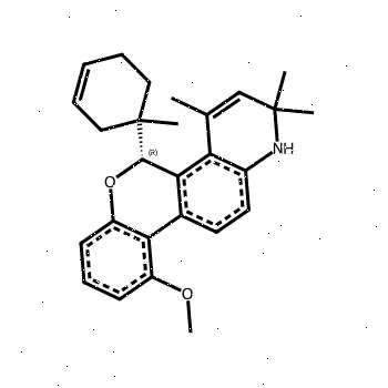 COc1cccc2c1-c1ccc3c(c1[C@@H](C1(C)CC=CCC1)O2)C(C)=CC(C)(C)N3